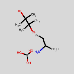 CC(C)(O)C(C)(C)O.CC(C)CC(N)C(=O)O.OB(O)O